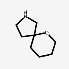 C1CCC2(CCNC2)OC1